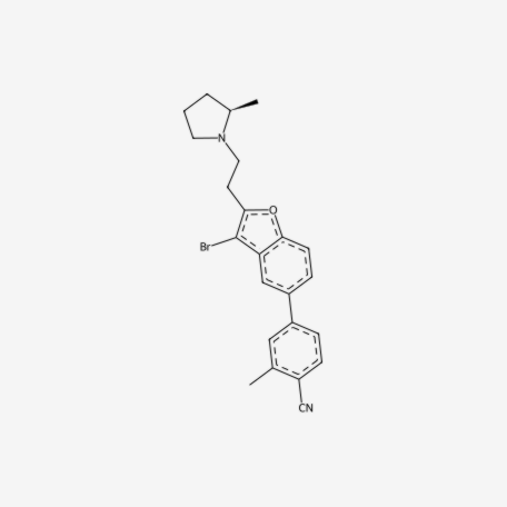 Cc1cc(-c2ccc3oc(CCN4CCC[C@H]4C)c(Br)c3c2)ccc1C#N